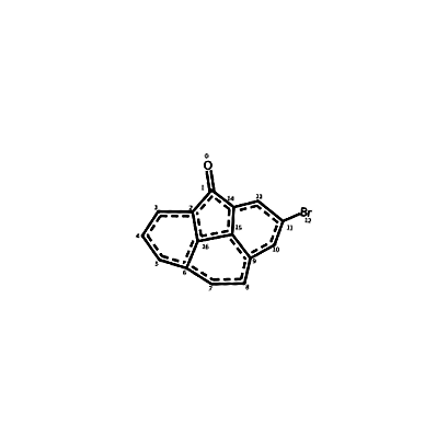 O=c1c2cccc3ccc4cc(Br)cc1c4c32